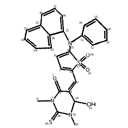 CN1C(=O)/C(=C\C2=CC=C(N(c3ccccc3)c3cccc4ccccc34)S2(=O)=O)C(O)N(C)C1=S